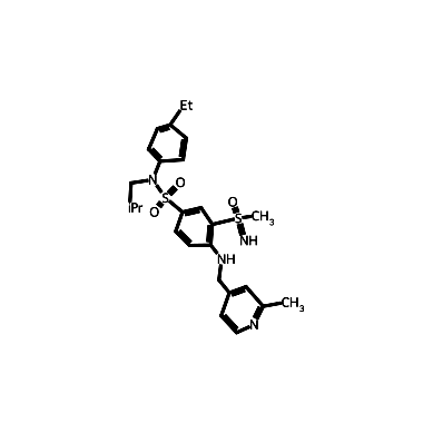 CCc1ccc(N(CC(C)C)S(=O)(=O)c2ccc(NCc3ccnc(C)c3)c(S(C)(=N)=O)c2)cc1